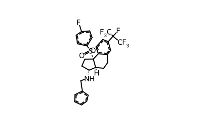 O=S(=O)(c1ccc(F)cc1)[C@@]12CC[C@@H](NCc3ccccc3)[C@@H]1CCc1cc(C(F)(C(F)(F)F)C(F)(F)F)ccc12